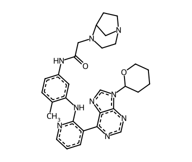 Cc1ccc(NC(=O)CN2CCN3CCC2C3)cc1Nc1ncccc1-c1ncnc2c1ncn2C1CCCCO1